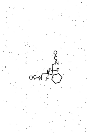 O=C=NCC(F)(F)C1(C(F)(F)CN=C=O)CCCCC1